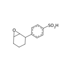 O=S(=O)(O)c1ccc(C2CCCC3OC32)cc1